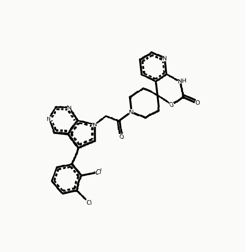 O=C1Nc2ncccc2C2(CCN(C(=O)Cn3cc(-c4cccc(Cl)c4Cl)c4cncnc43)CC2)O1